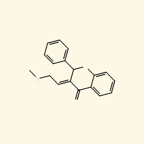 CNCC=C1C(=O)c2ccccc2OC1c1ccccc1